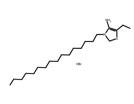 Br.CCCCCCCCCCCCCCCCN1CSC(CC)=C1N